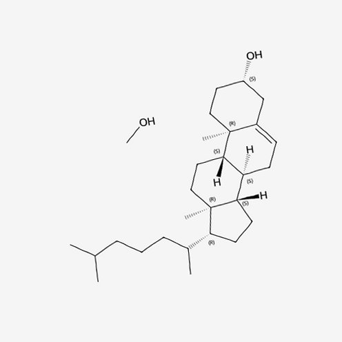 CC(C)CCCC(C)[C@H]1CC[C@H]2[C@@H]3CC=C4C[C@@H](O)CC[C@]4(C)[C@H]3CC[C@]12C.CO